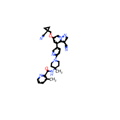 Cc1cccnc1C(=O)NC1(C)CCN(c2ccc(-c3cc(OCC4(C#N)CC4)cn4ncc(C#N)c34)cn2)CC1